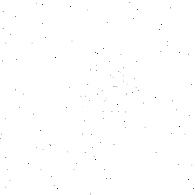 CCOC(=O)C(NC(=O)c1cnnn1CC)C(C1CC1)C1CC1